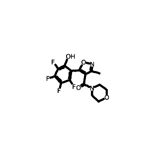 Cc1noc(-c2c(O)c(F)c(F)c(F)c2F)c1C(=O)N1CCOCC1